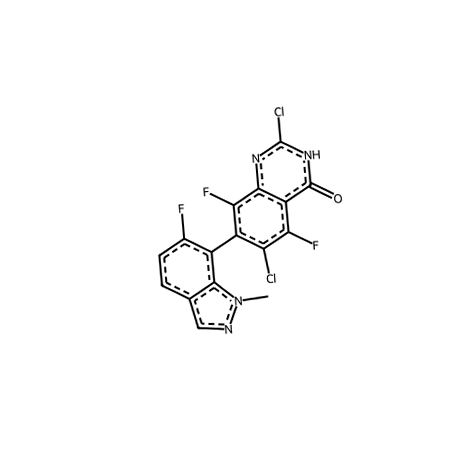 Cn1ncc2ccc(F)c(-c3c(Cl)c(F)c4c(=O)[nH]c(Cl)nc4c3F)c21